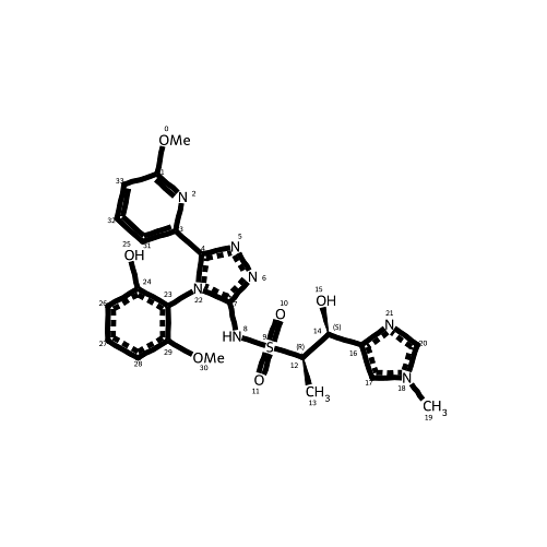 COC1=NC(c2nnc(NS(=O)(=O)[C@H](C)[C@@H](O)c3cn(C)cn3)n2-c2c(O)cccc2OC)=C=C=C1